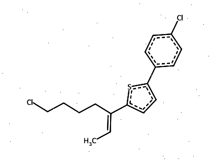 CC=C(CCCCCl)c1ccc(-c2ccc(Cl)cc2)s1